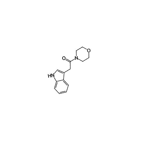 O=C(Cc1c[nH]c2ccccc12)N1CCOCC1